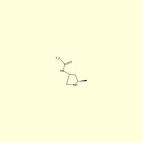 C[C@@H]1CC(NC(=O)C(F)(F)F)CN1